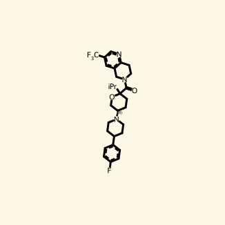 CC(C)C1(C(=O)N2CCc3ncc(C(F)(F)F)cc3C2)CC[C@@H](N2CCC(c3ccc(F)cc3)CC2)CO1